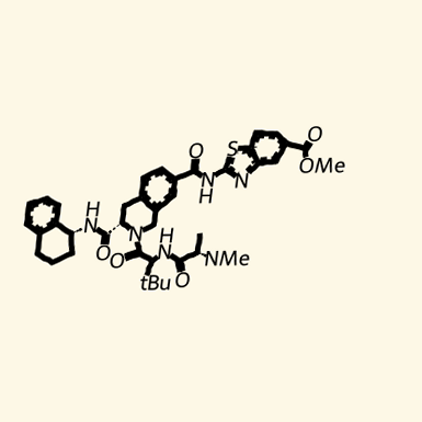 CN[C@@H](C)C(=O)NC(C(=O)N1Cc2cc(C(=O)Nc3nc4cc(C(=O)OC)ccc4s3)ccc2C[C@H]1C(=O)N[C@@H]1CCCc2ccccc21)C(C)(C)C